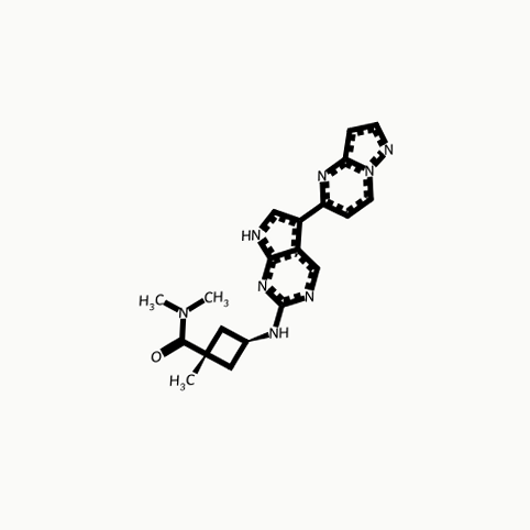 CN(C)C(=O)[C@]1(C)C[C@@H](Nc2ncc3c(-c4ccn5nccc5n4)c[nH]c3n2)C1